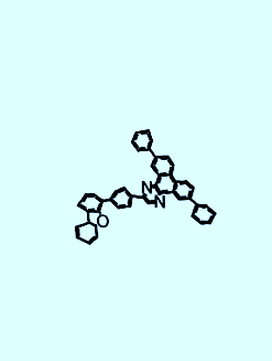 C1=CC2Oc3c(-c4ccc(-c5cnc6c7cc(-c8ccccc8)ccc7c7ccc(-c8ccccc8)cc7c6n5)cc4)cccc3C2C=C1